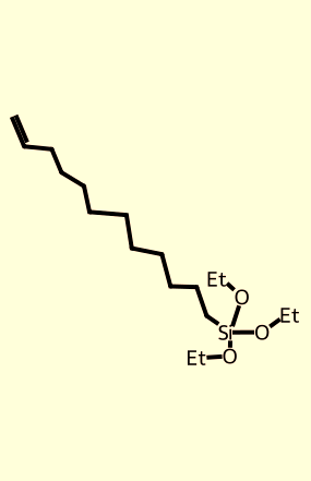 C=CCCCCCCCCCC[Si](OCC)(OCC)OCC